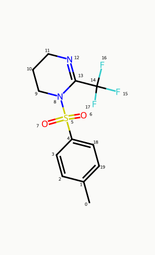 Cc1ccc(S(=O)(=O)N2CCCN=C2C(F)(F)F)cc1